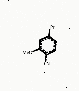 COc1cc([C](C)C)ccc1C#N